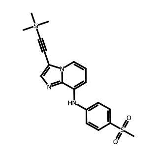 C[Si](C)(C)C#Cc1cnc2c(Nc3ccc(S(C)(=O)=O)cc3)cccn12